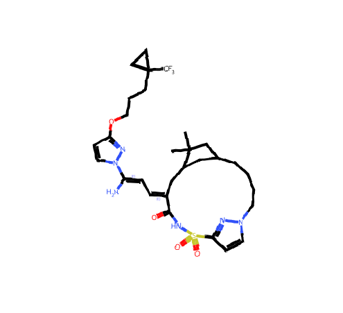 CC1(C)CC2CCCCn3ccc(n3)S(=O)(=O)NC(=O)/C(=C/C=C(\N)n3ccc(OCCCC4(C(F)(F)F)CC4)n3)CC1C2